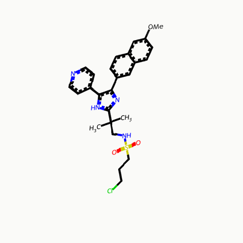 COc1ccc2cc(-c3nc(C(C)(C)CNS(=O)(=O)CCCCl)[nH]c3-c3ccncc3)ccc2c1